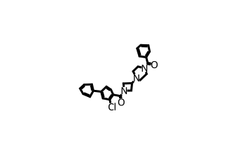 O=C(c1ccccc1)N1CCN(C2CN(C(=O)c3ccc(-c4ccccc4)cc3Cl)C2)CC1